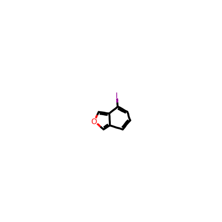 Ic1cccc2cocc12